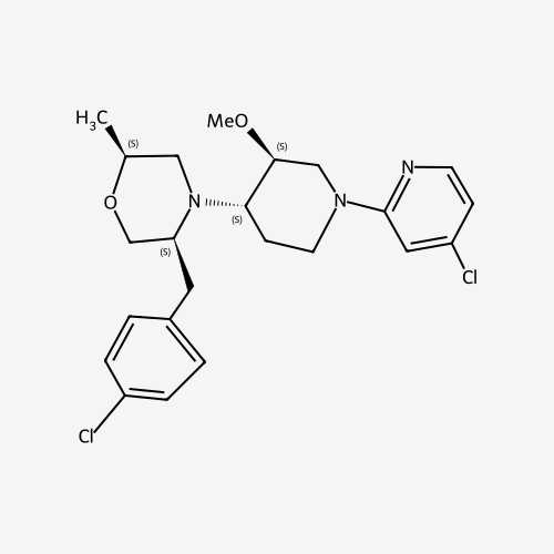 CO[C@H]1CN(c2cc(Cl)ccn2)CC[C@@H]1N1C[C@H](C)OC[C@@H]1Cc1ccc(Cl)cc1